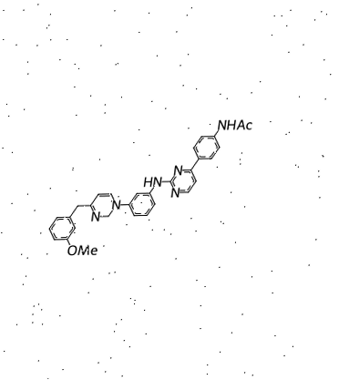 COc1cccc(CC2=NCN(c3cccc(Nc4nccc(-c5ccc(NC(C)=O)cc5)n4)c3)C=C2)c1